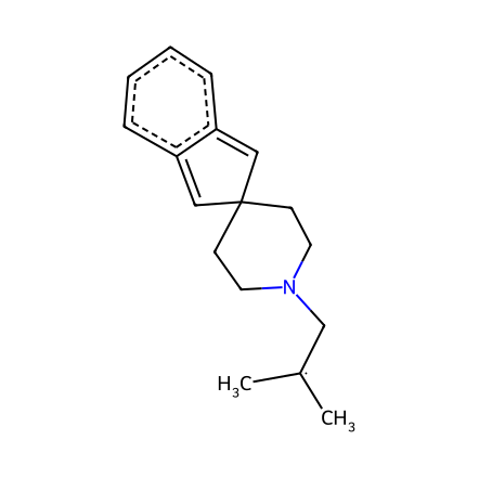 C[C](C)CN1CCC2(C=c3ccccc3=C2)CC1